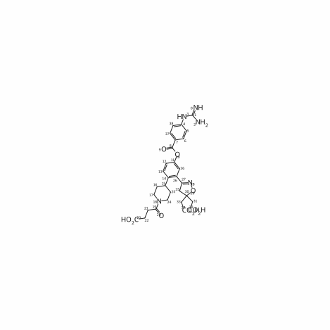 N=C(N)Nc1ccc(C(=O)Oc2ccc(C3CCN(C(=O)CCC(=O)O)CC3)c(C3=NOC(CC(=O)O)(CC(=O)O)C3)c2)cc1